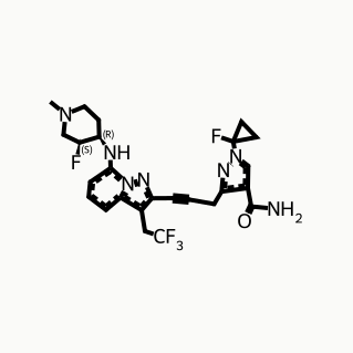 CN1CC[C@@H](Nc2cccc3c(CC(F)(F)F)c(C#CCc4nn(C5(F)CC5)cc4C(N)=O)nn23)[C@@H](F)C1